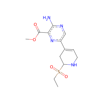 CCS(=O)(=O)C1CC(c2cnc(N)c(C(=O)OC)n2)=CCN1